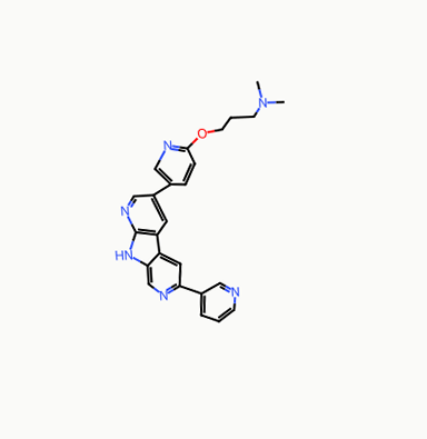 CN(C)CCCOc1ccc(-c2cnc3[nH]c4cnc(-c5cccnc5)cc4c3c2)cn1